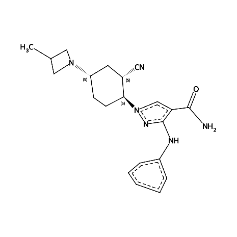 CC1CN([C@H]2CC[C@H](n3cc(C(N)=O)c(Nc4ccccc4)n3)[C@@H](C#N)C2)C1